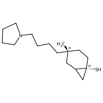 C[C@@]1(CCCCN2CCCC2)CC[C@@]2(S)CC2C1